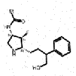 CCC(=O)N[C@H]1CN[C@@H](CCC(CO)c2ccccc2)[C@@H]1F